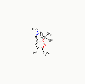 C/N=C/[C@H](C[C@H](C(=O)OC)C(C)C)O[Si](C)(C)C(C)(C)C